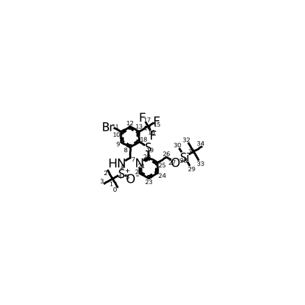 CC(C)(C)[S+]([O-])NCc1cc(Br)cc(C(F)(F)F)c1Sc1ncccc1CO[Si](C)(C)C(C)(C)C